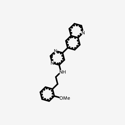 COc1ccccc1CCNc1cc(-c2ccc3ncccc3c2)ncn1